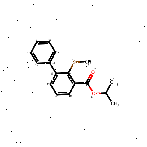 CSc1c(C(=O)OC(C)C)cccc1-c1ccccc1